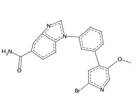 COc1cnc(Br)cc1-c1cccc(-n2cnc3cc(C(N)=O)ccc32)c1